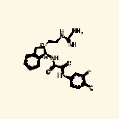 N=C(N)NCC[C@H]1Cc2ccccc2[C@@H]1NC(=O)C(=O)Nc1ccc(Cl)c(F)c1